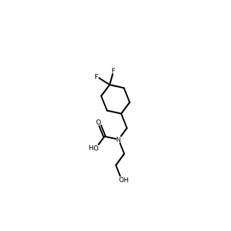 O=C(O)N(CCO)CC1CCC(F)(F)CC1